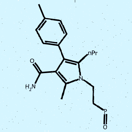 CCCc1c(-c2ccc(C)cc2)c(C(N)=O)c(C)n1CCP=O